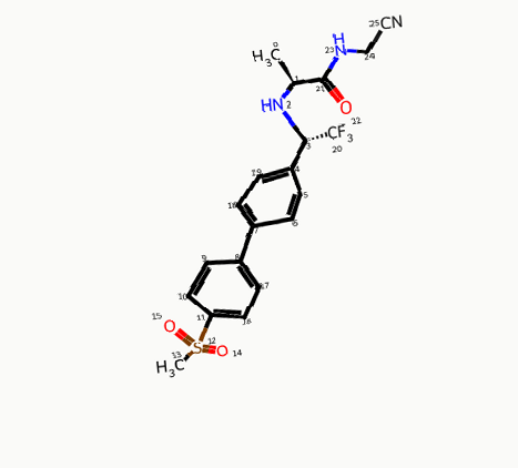 C[C@H](N[C@@H](c1ccc(-c2ccc(S(C)(=O)=O)cc2)cc1)C(F)(F)F)C(=O)NCC#N